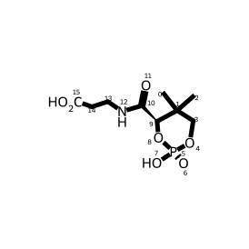 CC1(C)COP(=O)(O)O[C@H]1C(=O)NCCC(=O)O